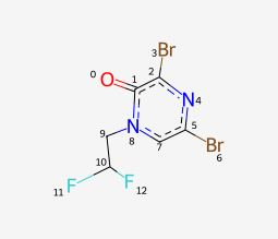 O=c1c(Br)nc(Br)cn1CC(F)F